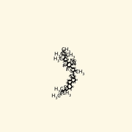 CCCC(C)(C)c1cc2ccc3c4ccc5cc(-c6sc(-c7c(F)c(F)c(-c8cc(C)c(C(C)(CC)CCC)s8)c8nsnc78)cc6C)sc5c4ccc3c2s1